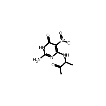 CC(=O)C(C)Nc1nc(N)[nH]c(=O)c1[N+](=O)[O-]